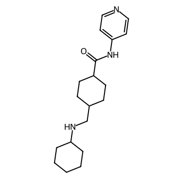 O=C(Nc1ccncc1)C1CCC(CNC2CCCCC2)CC1